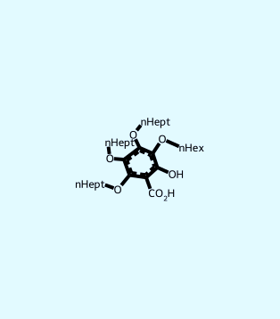 CCCCCCCOc1c(OCCCCCC)c(O)c(C(=O)O)c(OCCCCCCC)c1OCCCCCCC